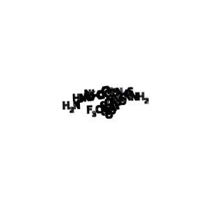 C[n+]1cc(-c2ccc3c(c2)CC[C@@H](CO/N=C(\C(=O)N[C@H]2C(=O)N(OS(=O)(=O)OC(=O)C(F)(F)F)C2(C)C)c2csc(N)n2)O3)ccc1NCCN